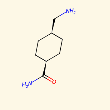 NC[C@H]1CC[C@@H](C(N)=O)CC1